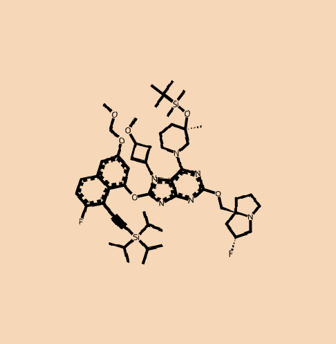 COCOc1cc(Oc2nc3nc(OC[C@@]45CCCN4C[C@H](F)C5)nc(N4CCC[C@@](C)(O[Si](C)(C)C(C)(C)C)C4)c3n2C2CC(OC)C2)c2c(C#C[Si](C(C)C)(C(C)C)C(C)C)c(F)ccc2c1